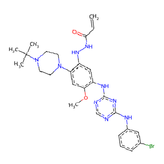 C=CC(=O)NNc1cc(Nc2ncnc(Nc3cccc(Br)c3)n2)c(OC)cc1N1CCN(C(C)(C)C)CC1